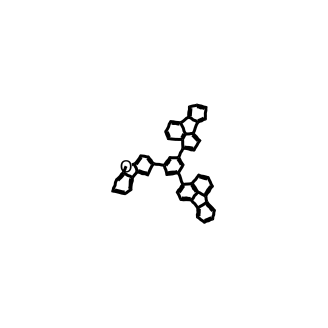 c1ccc2c(c1)-c1cccc3c(-c4cc(-c5ccc6oc7ccccc7c6c5)cc(-c5ccc6c7c(cccc57)-c5ccccc5-6)c4)ccc-2c13